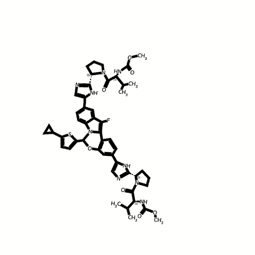 COC(=O)N[C@H](C(=O)N1CCC[C@H]1c1ncc(-c2ccc3c(c2)OC(c2ccc(C4CC4)s2)n2c-3c(F)c3cc(-c4cnc([C@@H]5CCCN5C(=O)[C@@H](NC(=O)OC)C(C)C)[nH]4)ccc32)[nH]1)C(C)C